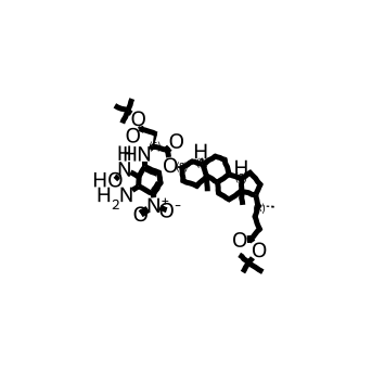 C[C@H](CCC(=O)OC(C)(C)C)C1CC[C@H]2C3CC[C@@H]4C[C@@H](OC(=O)[C@H](CC(=O)OC(C)(C)C)NC5=CC=C([N+](=O)[O-])C(N)C5NO)CCC4(C)C3CCC12C